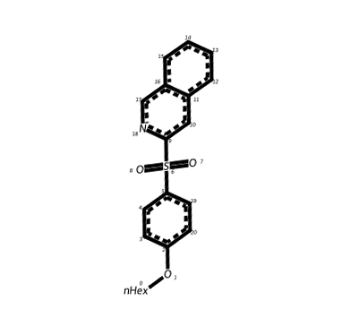 CCCCCCOc1ccc(S(=O)(=O)c2cc3ccccc3cn2)cc1